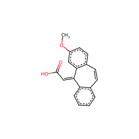 COc1ccc2c(c1)C(=CC(=O)O)c1ccccc1C=C2